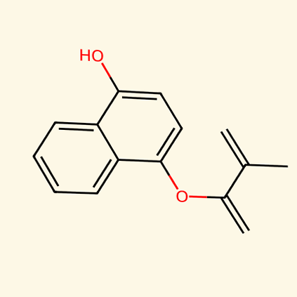 C=C(C)C(=C)Oc1ccc(O)c2ccccc12